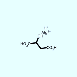 O=C(O)CC(O)C(=O)O.[H+].[Mg+2]